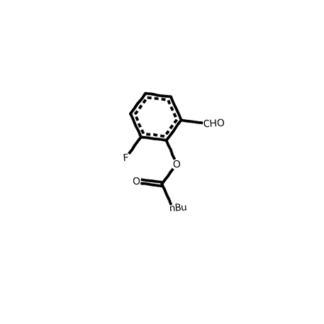 [CH2]CCCC(=O)Oc1c(F)cccc1C=O